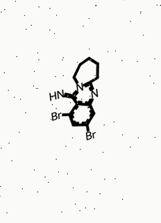 N=c1c2c(Br)cc(Br)cc2nc2n1CCCCC2